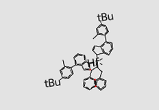 Cc1cc(C(C)(C)C)ccc1-c1cccc2c1C=C[CH]2[Hf]([CH3])([CH3])(=[C](Cc1ccccc1)Cc1ccccc1)[CH]1C=Cc2c(-c3ccc(C(C)(C)C)cc3C)cccc21